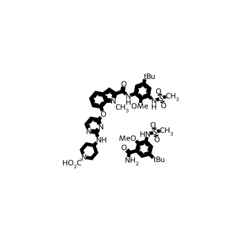 COc1c(NC(=O)c2cc3cccc(Oc4ccnc(NC5CCN(C(=O)O)CC5)n4)c3n2C)cc(C(C)(C)C)cc1NS(C)(=O)=O.COc1c(NS(C)(=O)=O)cc(C(C)(C)C)cc1C(N)=O